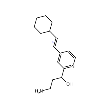 NCCC(O)c1cc(/C=C/C2CCCCC2)ccn1